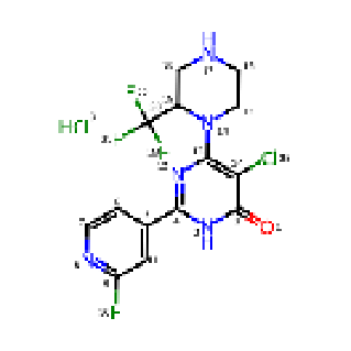 Cl.O=c1[nH]c(-c2ccnc(F)c2)nc(N2CCNCC2C(F)(F)F)c1Cl